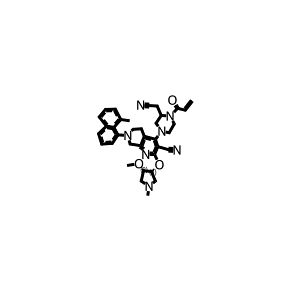 C=CC(=O)N1CCN(c2c(C#N)c(O[C@@H]3CN(C)C[C@H]3OC)nc3c2CCN(c2cccc4cccc(C)c24)C3)CC1CC#N